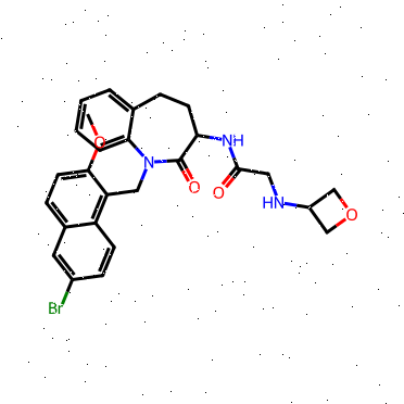 COc1ccc2cc(Br)ccc2c1CN1C(=O)C(NC(=O)CNC2COC2)CCc2ccccc21